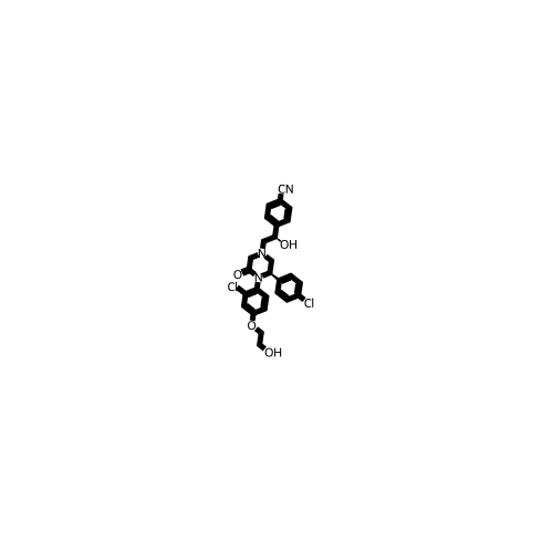 N#Cc1ccc([C@H](O)CN2CC(=O)N(c3ccc(OCCO)cc3Cl)[C@H](c3ccc(Cl)cc3)C2)cc1